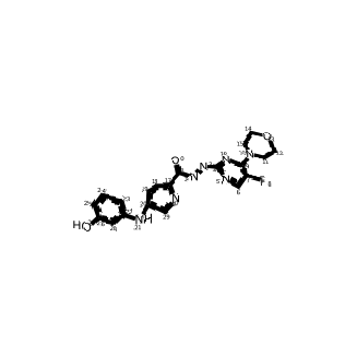 O=C(/N=N/c1ncc(F)c(N2CCOCC2)n1)c1ccc(Nc2cccc(O)c2)cn1